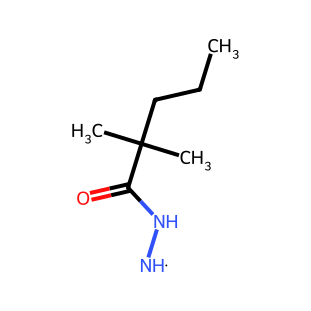 CCCC(C)(C)C(=O)N[NH]